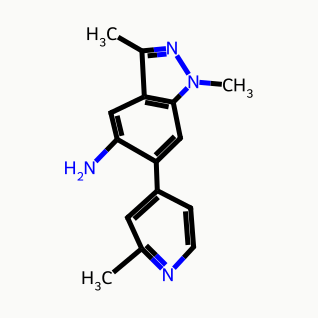 Cc1cc(-c2cc3c(cc2N)c(C)nn3C)ccn1